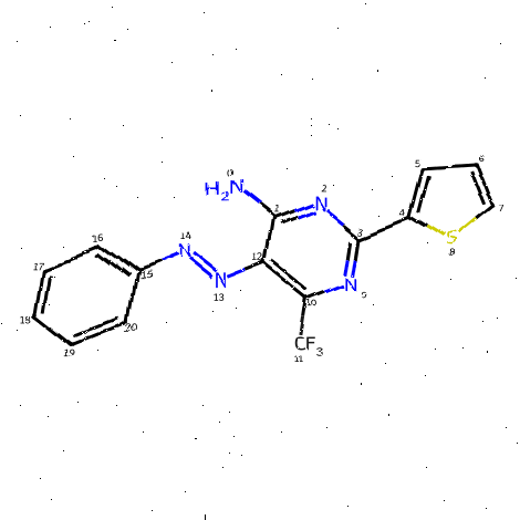 Nc1nc(-c2cccs2)nc(C(F)(F)F)c1/N=N/c1ccccc1